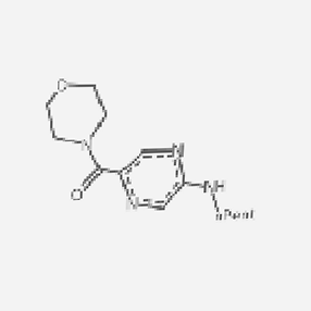 CCCCCNc1cnc(C(=O)N2CCOCC2)cn1